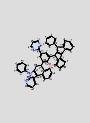 c1ccc(C2C3=C(c4ccccc42)c2cccc4c2C3c2cc(-c3ncccn3)cc3c2B4c2cccc4c2C3Cc2c-4c3cccnc3n2-c2ccccc2)cc1